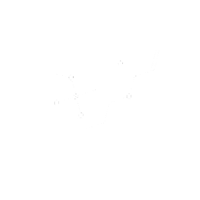 C=CC(=O)OC(CC)C[Si](OC)(OC)OC